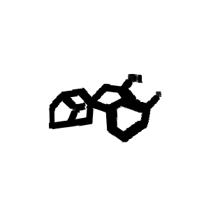 CN1C2CCC1CC(CC(=O)O)(c1cccc(F)c1)C2